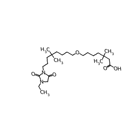 CCN1CC(=O)N(CCCC(C)(C)CCCCOCCCCC(C)(C)CC(=O)O)C1=O